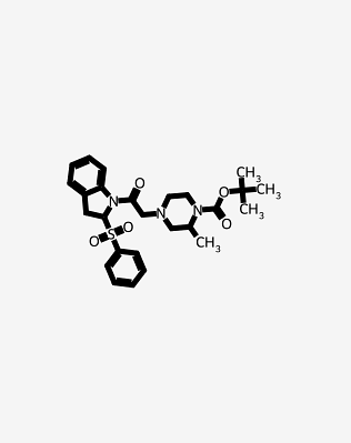 CC1CN(CC(=O)N2c3ccccc3CC2S(=O)(=O)c2ccccc2)CCN1C(=O)OC(C)(C)C